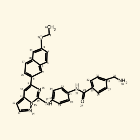 CCOc1ccc2cc(-c3cc4ccnn4c(Nc4ccc(NC(=O)c5ccc(CN)cc5)cc4)n3)ccc2c1